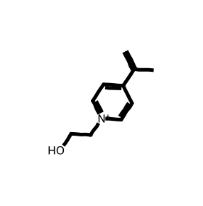 C=C(C)c1cc[n+](CCO)cc1